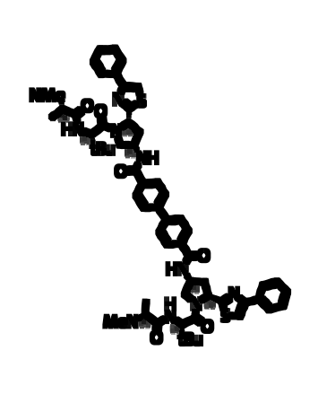 CN[C@@H](C)C(=O)N[C@H](C(=O)N1C[C@@H](NC(=O)c2ccc(-c3ccc(C(=O)N[C@H]4C[C@@H](c5nc(-c6ccccc6)cs5)N(C(=O)[C@@H](NC(=O)[C@H](C)NC)C(C)(C)C)C4)cc3)cc2)C[C@H]1c1nc(-c2ccccc2)cs1)C(C)(C)C